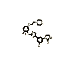 Cc1ccc(OCCN2CCOCC2)cc1Nc1ncc(-c2cc(Cl)cc(N3CCNC3=O)c2)o1